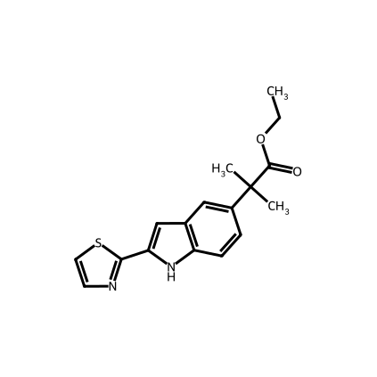 CCOC(=O)C(C)(C)c1ccc2[nH]c(-c3nccs3)cc2c1